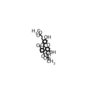 COC(=O)CCc1cc2c(cc1O)Oc1cc(O)c(CCC(=O)OC)cc1C21OC(=O)c2ccc(C(=O)O)cc21